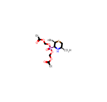 CCCC[C@H]1SC[C@@H](C(=O)O)N[C@H]1P(=O)(OCOC(=O)CC)OCOC(=O)CC